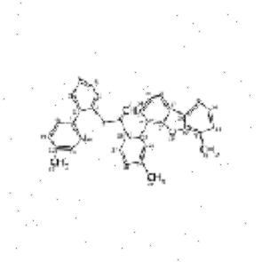 C=C(Cc1ccccc1-c1ccc(C)cn1)N1C=CC(C)=CC1c1cccc2c1oc1c(C)cccc12